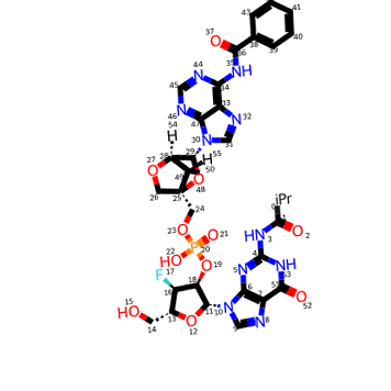 CC(C)C(=O)Nc1nc2c(ncn2[C@@H]2O[C@H](CO)[C@@H](F)[C@H]2OP(=O)(O)OC[C@@]23CO[C@@H]([C@H](n4cnc5c(NC(=O)c6ccccc6)ncnc54)O2)[C@@H]3C)c(=O)[nH]1